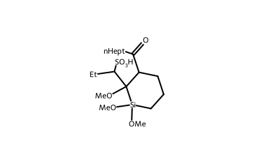 CCCCCCCC(=O)C1CCC[Si](OC)(OC)C1(OC)C(CC)S(=O)(=O)O